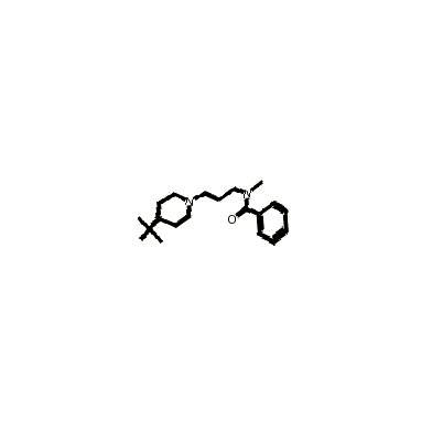 CN(CCCN1CCC(C(C)(C)C)CC1)C(=O)c1ccccc1